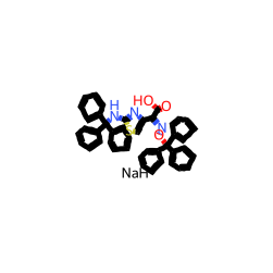 O=C(O)/C(=N/OC(c1ccccc1)(c1ccccc1)c1ccccc1)c1csc(NC(c2ccccc2)(c2ccccc2)c2ccccc2)n1.[NaH]